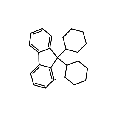 [c]1ccc2c(c1)-c1ccc[c]c1C2(C1CCCCC1)C1CCCCC1